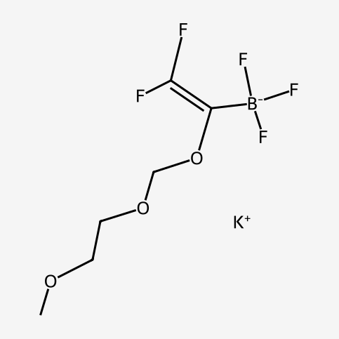 COCCOCOC(=C(F)F)[B-](F)(F)F.[K+]